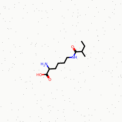 CCC(C)C(=O)NCCCCC(N)C(=O)O